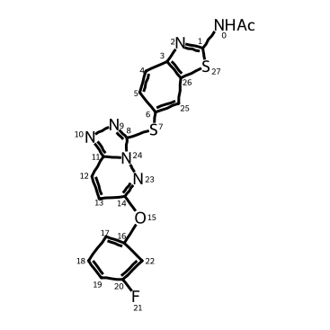 CC(=O)Nc1nc2ccc(Sc3nnc4ccc(Oc5cccc(F)c5)nn34)cc2s1